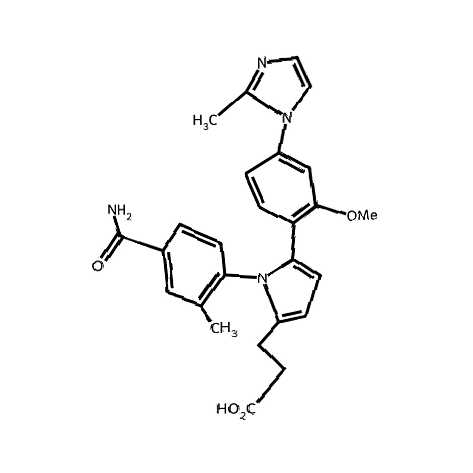 COc1cc(-n2ccnc2C)ccc1-c1ccc(CCC(=O)O)n1-c1ccc(C(N)=O)cc1C